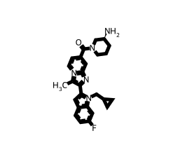 Cc1c(-c2cc3ccc(F)cc3n2CC2CC2)nc2cc(C(=O)N3CCC[C@@H](N)C3)ccn12